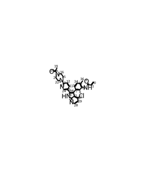 C=CC(=O)Nc1cc(-c2c(-c3ccc(N4CCN(C(C)=O)CC4)nc3)[nH]c3nccc(Cl)c23)ccc1C